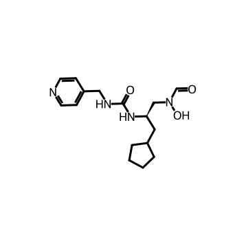 O=CN(O)C[C@@H](CC1CCCC1)NC(=O)NCc1ccncc1